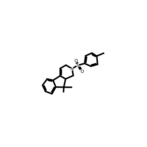 Cc1ccc(S(=O)(=O)N2CC=C3c4ccccc4C(C)(C)C3C2)cc1